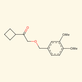 COc1ccc(COCC(=O)C2CCC2)cc1OC